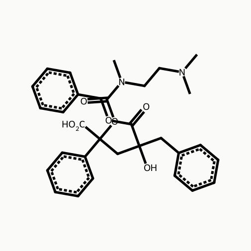 CN(C)CCN(C)C(=O)OC(CC(O)(Cc1ccccc1)C(=O)OCc1ccccc1)(C(=O)O)c1ccccc1